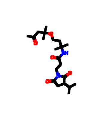 CC(=O)CC(C)(C)OCCC(C)(C)NC(=O)CCN1C(=O)CC(C(C)C)C1=O